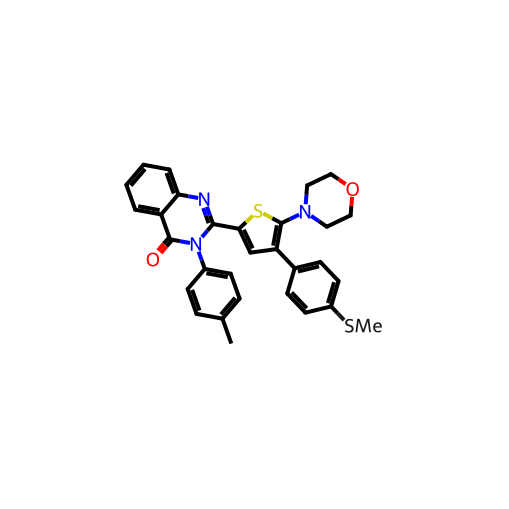 CSc1ccc(-c2cc(-c3nc4ccccc4c(=O)n3-c3ccc(C)cc3)sc2N2CCOCC2)cc1